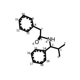 CC(C)C(NC(=O)Cc1ccccc1)c1ccccc1